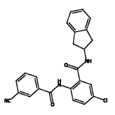 N#Cc1cccc(C(=O)Nc2ccc(Cl)cc2C(=O)NC2Cc3ccccc3C2)c1